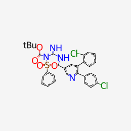 CC(C)(C)OC(=O)N(C(=N)NCc1cnc(-c2ccc(Cl)cc2)c(-c2ccccc2Cl)c1)S(=O)(=O)c1ccccc1